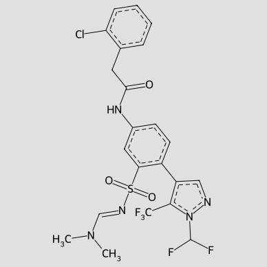 CN(C)/C=N/S(=O)(=O)c1cc(NC(=O)Cc2ccccc2Cl)ccc1-c1cnn(C(F)F)c1C(F)(F)F